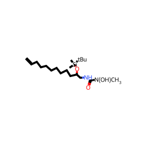 C=CCCCCCCCCC(CNC(=O)N(C)O)O[Si](C)(C)C(C)(C)C